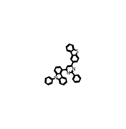 c1ccc(-c2nc(-c3ccc4sc5ccccc5c4c3)cc(-c3cccc4c3c3ccccc3n4-c3ccccc3)n2)cc1